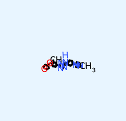 Cc1cc(-c2ncnc(Nc3ccc(N4CCN(C)CC4)cc3)n2)ccc1OC1CCOCC1